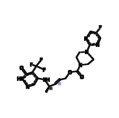 C[C@H](/C=C/COC(=O)N1CCN(c2ncc(F)cn2)CC1)Nc1cn[nH]c(=O)c1C(F)(F)F